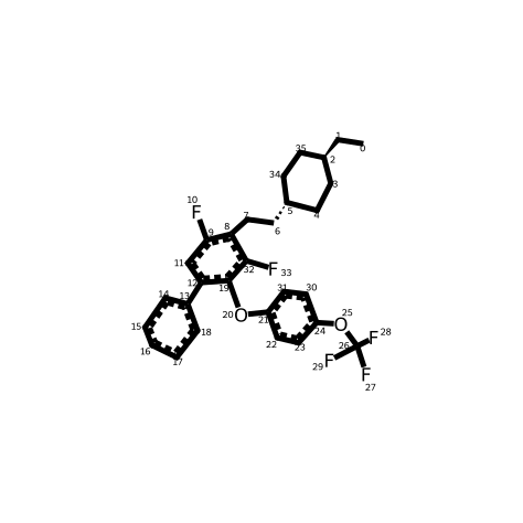 CC[C@H]1CC[C@H](CCc2c(F)cc(-c3ccccc3)c(Oc3ccc(OC(F)(F)F)cc3)c2F)CC1